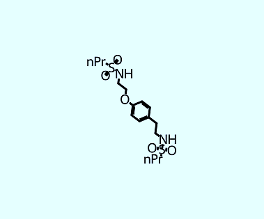 CCCS(=O)(=O)NCCOc1ccc(CCNS(=O)(=O)CCC)cc1